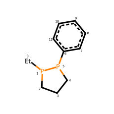 CCP1CCCP1c1ccccc1